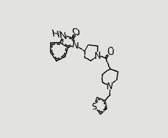 O=C(C1CCN(Cc2ccsc2)CC1)N1CCC(n2c(=O)[nH]c3ccccc32)CC1